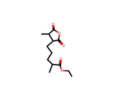 CCOC(=O)C(C)CCCC1C(=O)OC(=O)C1C